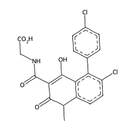 CC1C(=O)C(C(=O)NCC(=O)O)=C(O)c2c1ccc(Cl)c2-c1ccc(Cl)cc1